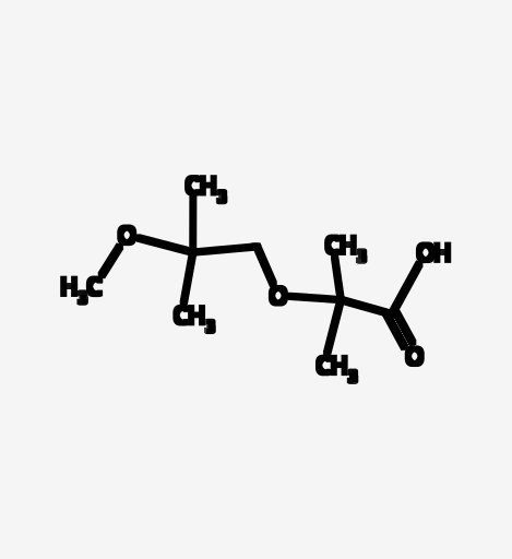 COC(C)(C)COC(C)(C)C(=O)O